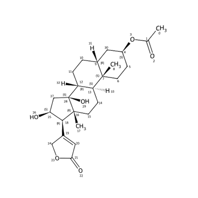 CC(=O)O[C@H]1CC[C@@]2(C)[C@H](CC[C@@H]3[C@@H]2CC[C@]2(C)[C@@H](C4=CC(=O)OC4)[C@@H](O)C[C@]32O)C1